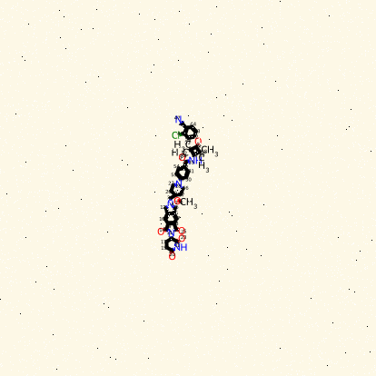 COC1(CN2Cc3cc4c(cc3C2)C(=O)N(C2CCC(=O)NC2=O)C4=O)CCN(c2ccc(C(=O)N[C@H]3C(C)(C)[C@H](Oc4ccc(C#N)c(Cl)c4)C3(C)C)cc2)CC1